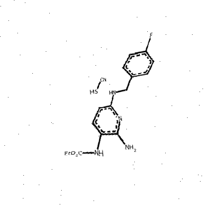 CCOC(=O)Nc1ccc(NCc2ccc(F)cc2)nc1N.N#CS